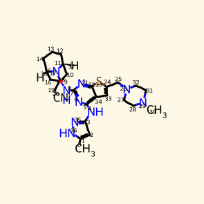 Cc1cc(Nc2nc(N[C@@H]3C[C@H]4CCC[C@@H](C3)N4CCC#N)nc3sc(CN4CCN(C)CC4)cc23)n[nH]1